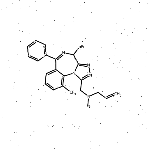 C=CCN(CC)Cc1nnc2n1-c1c(cccc1C(F)(F)F)C(c1ccccc1)=NC2CCC